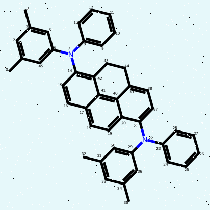 Cc1cc(C)cc(N(c2ccccc2)c2ccc3ccc4c(N(c5ccccc5)c5cc(C)cc(C)c5)ccc5c4c3c2CC5)c1